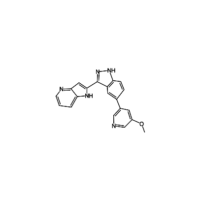 COc1cncc(-c2ccc3[nH]nc(-c4cc5ncccc5[nH]4)c3c2)c1